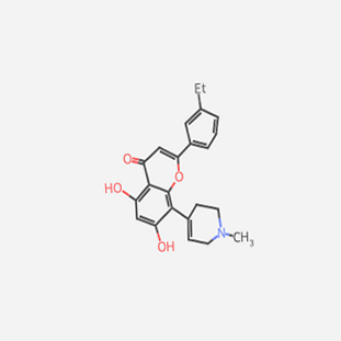 CCc1cccc(-c2cc(=O)c3c(O)cc(O)c(C4=CCN(C)CC4)c3o2)c1